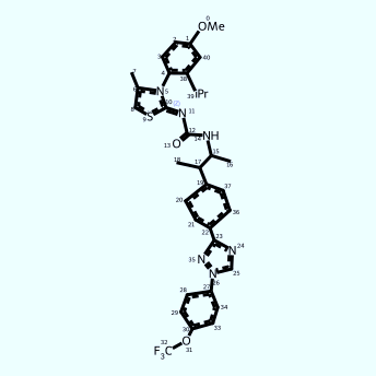 COc1ccc(-n2c(C)cs/c2=N\C(=O)NC(C)C(C)c2ccc(-c3ncn(-c4ccc(OC(F)(F)F)cc4)n3)cc2)c(C(C)C)c1